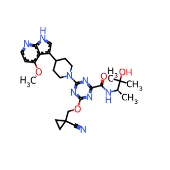 COc1ccnc2[nH]cc(C3CCN(c4nc(OCC5(C#N)CC5)nc(C(=O)N[C@H](C)C(C)(C)O)n4)CC3)c12